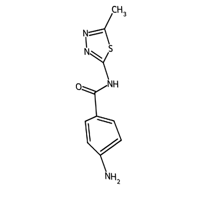 Cc1nnc(NC(=O)c2ccc(N)cc2)s1